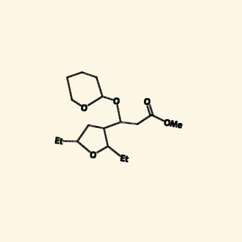 CCC1CC(C(CC(=O)OC)OC2CCCCO2)C(CC)O1